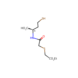 CCOC(=O)CSCC(=O)N[C@H](CCS)C(=O)O